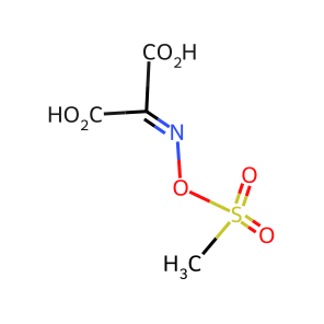 CS(=O)(=O)ON=C(C(=O)O)C(=O)O